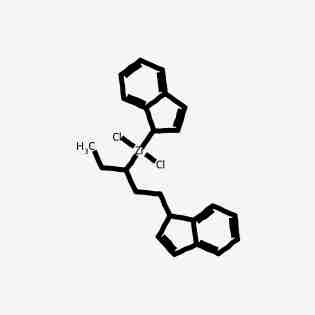 CC[CH](CCC1C=Cc2ccccc21)[Zr]([Cl])([Cl])[CH]1C=Cc2ccccc21